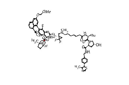 C#Cc1cccc2cc(OCOC)cc(-c3c(F)cc4c(N5C[C@H]6CC[C@@](C)(C5)N6C(=O)OC(C)(C)C)nc(OC[C@]5(CN(C)CCCCCCC(=O)N[C@H](C(=O)N6C[C@H](O)C[C@H]6C(=O)NCc6ccc(-c7scnc7C)cc6)C(C)(C)C)CC5(F)F)nc4c3F)c12